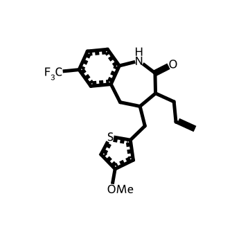 C=CCC1C(=O)Nc2ccc(C(F)(F)F)cc2CC1Cc1cc(OC)cs1